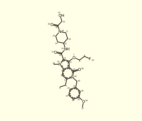 CCc1cc2c(c(OCCF)c(C(=O)NC3CCN(C(=O)CO)CC3)n2C)c(=O)n1Cc1cccc(OC)c1